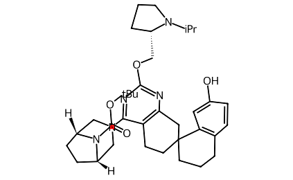 CC(C)N1CCC[C@H]1COc1nc2c(c(N3C[C@H]4CC[C@@H](C3)N4C(=O)OC(C)(C)C)n1)CCC1(CCCc3ccc(O)cc31)C2